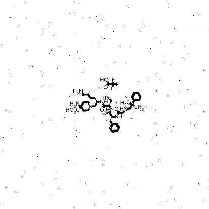 CC(C)C[C@@H](NC(=O)[C@@H](Cc1ccccc1)NC(=O)CNCC(C)(C)c1ccccc1)C(=O)N[C@H](CCCCN)CN1CCC(N)(C(=O)O)CC1.O=C(O)C(F)(F)F